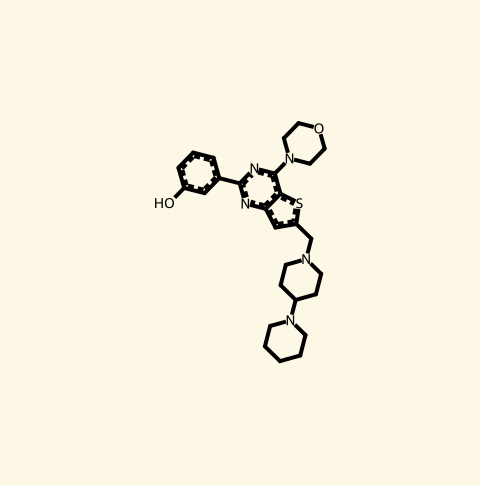 Oc1cccc(-c2nc(N3CCOCC3)c3sc(CN4CCC(N5CCCCC5)CC4)cc3n2)c1